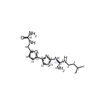 CC(C)CCN/C(N)=N/c1nc(-c2ccc(CNC(N)=O)o2)cs1